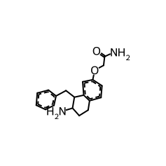 NC(=O)COc1ccc2c(c1)C(Cc1ccccc1)C(N)CC2